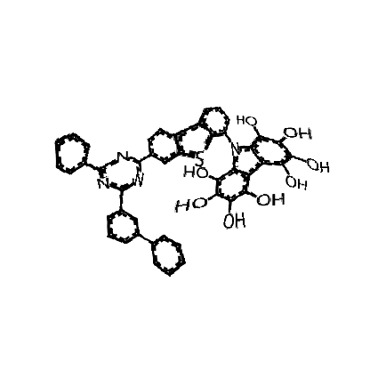 Oc1c(O)c(O)c2c(c1O)c1c(O)c(O)c(O)c(O)c1n2-c1cccc2c1sc1cc(-c3nc(-c4ccccc4)nc(-c4cccc(-c5ccccc5)c4)n3)ccc12